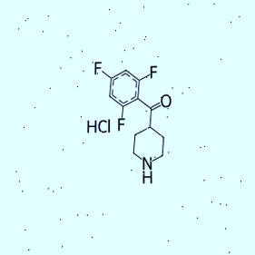 Cl.O=C(c1c(F)cc(F)cc1F)C1CCNCC1